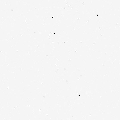 CCCCC=CPCCCCCC